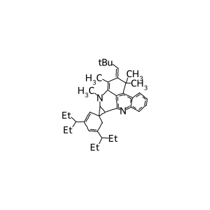 CCC(CC)C1=CC2(CC(C(CC)CC)=C1)C1c3nc4ccccc4c4c3C(=C(C)/C(=C\C(C)(C)C)C4(C)C)N(C)C12